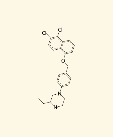 CCC1CN(c2ccc(COc3cccc4c(Cl)c(Cl)ccc34)cc2)CC[N]1